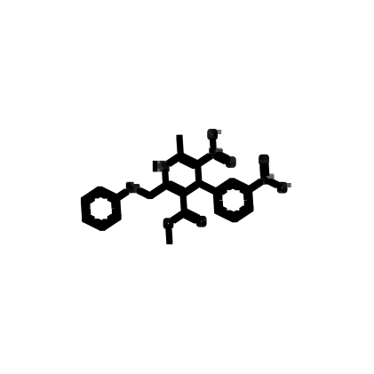 COC(=O)C1=C(C[Se]c2ccccc2)NC(C)=C([N+](=O)[O-])C1c1cccc([N+](=O)[O-])c1